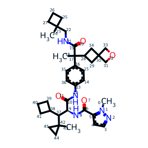 Cn1nccc1C(=O)N[C@H](C(=O)Nc1ccc(C(C)(C(=O)NCC2(C)CCC2)C2CC3(COC3)C2)cc1)C(C1CCC1)C1(C)CC1